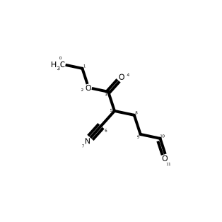 CCOC(=O)C(C#N)CCC=O